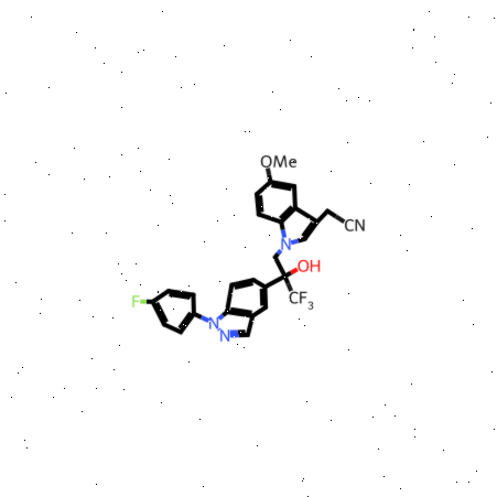 COc1ccc2c(c1)c(CC#N)cn2CC(O)(c1ccc2c(cnn2-c2ccc(F)cc2)c1)C(F)(F)F